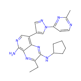 CCc1nc2c(N)ncc(-c3cnn(-c4ccnc(C)n4)c3)c2nc1NC1CCCC1